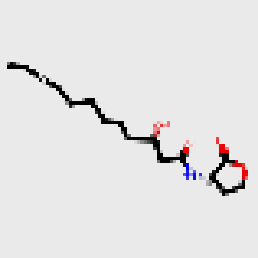 CCCCCCCCC[C@@H](O)CC(=O)N[C@H]1CCOC1=O